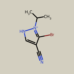 CC(C)[n+]1[nH]cc(C#N)c1Br